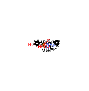 CCC(CC)(Cc1ccc(O)cc1)P(=O)(O)ONC(=O)[C@H](Cc1ccccc1)NC(=O)[C@@H](NC)C(C)C